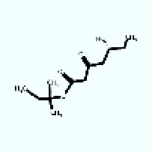 CC[C@@H](O)CC(=O)CC(=O)OC(C)(C)CC